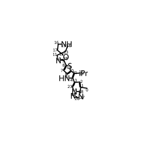 Cc1cc(-c2[nH]c3cc(C4=NCC5(CCNCC5)O4)sc3c2C(C)C)cn2ncnc12